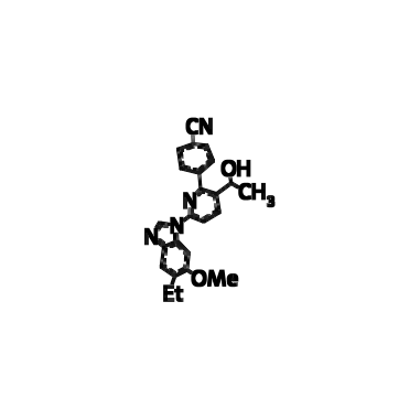 CCc1cc2ncn(-c3ccc(C(C)O)c(-c4ccc(C#N)cc4)n3)c2cc1OC